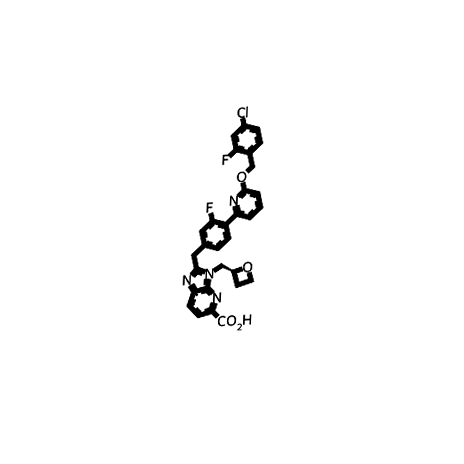 O=C(O)c1ccc2nc(Cc3ccc(-c4cccc(OCc5ccc(Cl)cc5F)n4)c(F)c3)n(C[C@@H]3CCO3)c2n1